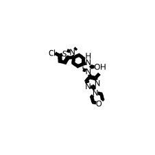 Cc1nc(N2CCOCC2)ncc1N1C[C@]2(CC[C@](c3ccc(Cl)s3)(N(C)C)CC2)NC1O